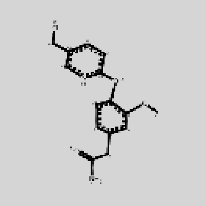 COc1cc(CC(N)=O)ccc1Oc1ccc(CCl)cn1